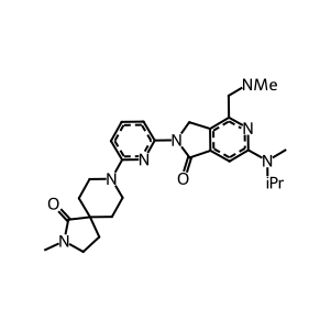 CNCc1nc(N(C)C(C)C)cc2c1CN(c1cccc(N3CCC4(CCN(C)C4=O)CC3)n1)C2=O